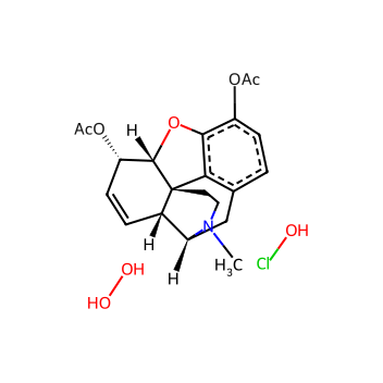 CC(=O)Oc1ccc2c3c1O[C@H]1[C@@H](OC(C)=O)C=C[C@H]4[C@@H](C2)N(C)CC[C@@]341.OCl.OO